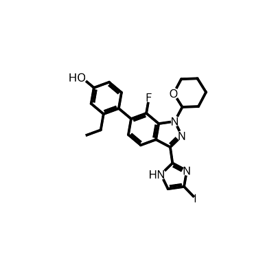 CCc1cc(O)ccc1-c1ccc2c(-c3nc(I)c[nH]3)nn(C3CCCCO3)c2c1F